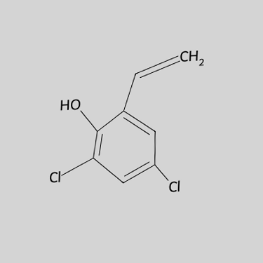 C=Cc1cc(Cl)cc(Cl)c1O